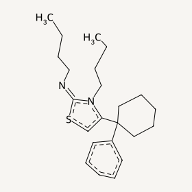 CCCCN=c1scc(C2(c3ccccc3)CCCCC2)n1CCCC